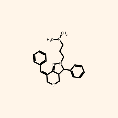 CN(C)CCCN1N=C2/C(=C\c3ccccc3)CSCC2C1c1ccccc1